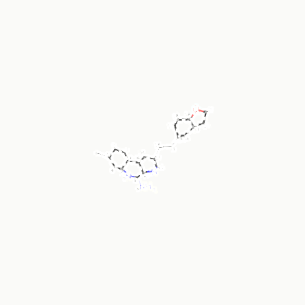 Cc1ccc2c(c1)nc(N)c1ncc(CCc3ccc4occc4c3)cc12